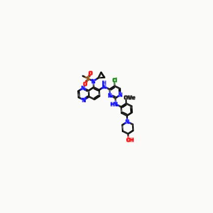 COc1ccc(N2CCC(O)CC2)cc1Nc1ncc(Cl)c(Nc2ccc3nccnc3c2N(C2CC2)S(C)(=O)=O)n1